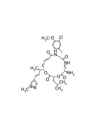 COc1ccc(C[C@H]2NC(=O)/C=C/C[C@@H]([C@H](C)/C=C/c3cnn(C)c3)OC(=O)[C@H](CC(C)C)OC(=O)[C@H](N)CNC2=O)cc1Cl